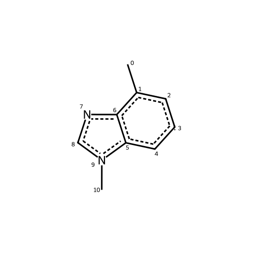 Cc1c[c]cc2c1ncn2C